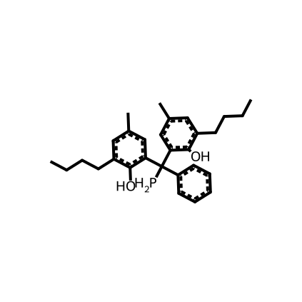 CCCCc1cc(C)cc(C(P)(c2ccccc2)c2cc(C)cc(CCCC)c2O)c1O